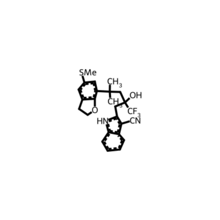 CSc1cc2c(c(C(C)(C)CC(O)(Cc3[nH]c4ccccc4c3C#N)C(F)(F)F)c1)OCC2